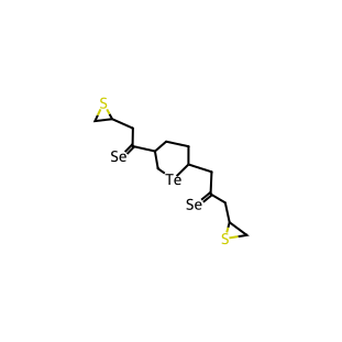 [Se]=C(CC1CS1)CC1CCC(C(=[Se])CC2CS2)C[Te]1